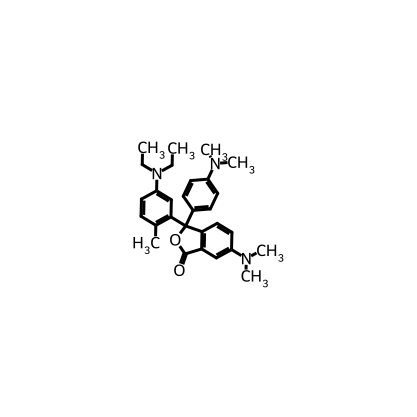 CCN(CC)c1ccc(C)c(C2(c3ccc(N(C)C)cc3)OC(=O)c3cc(N(C)C)ccc32)c1